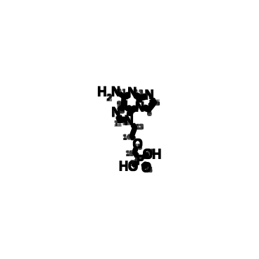 Nc1nc2nccn2c2c1ncn2CCOCP(=O)(O)O